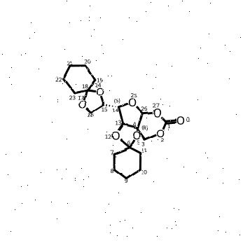 O=C1OC[C@@]23OC4(CCCCC4)OC2[C@H](C2COC4(CCCCC4)O2)OC3O1